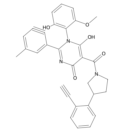 C#Cc1ccccc1C1CCN(C(=O)c2c(O)n(-c3c(O)cccc3OC)c(-c3c#ccc(C)c3)nc2=O)C1